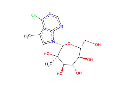 Cc1cn([C@@H]2O[C@H](CO)[C@@H](O)[C@H](O)[C@@H](O)[C@@]2(C)O)c2ncnc(Cl)c12